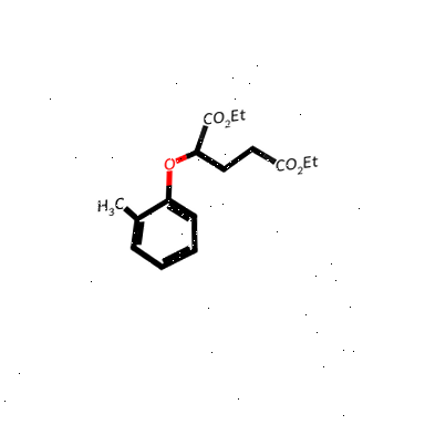 CCOC(=O)CCC(Oc1ccccc1C)C(=O)OCC